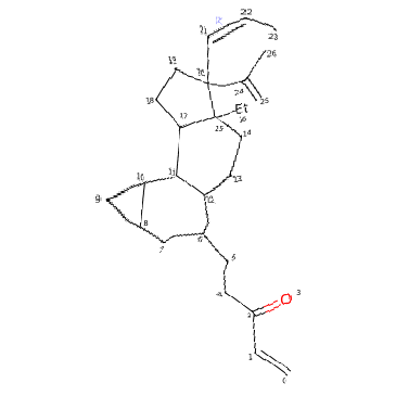 C=CC(=O)CCC1CC2CC2C2C1CCC1(CC)C2CCC1(/C=C\C)C(=C)C